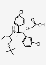 CC[C@@H](CSC(C)(C)C)N[C@@](C)(c1ccc(Cl)cc1)[C@H](OCC(=O)O)c1cccc(Cl)c1